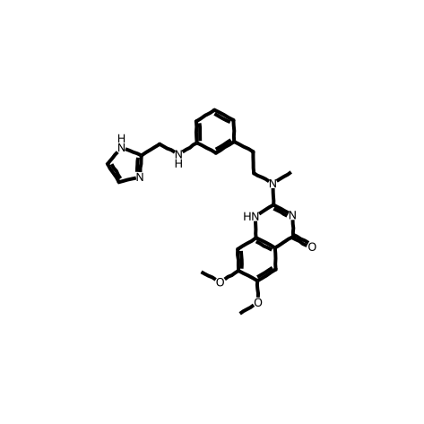 COc1cc2[nH]c(N(C)CCc3cccc(NCc4ncc[nH]4)c3)nc(=O)c2cc1OC